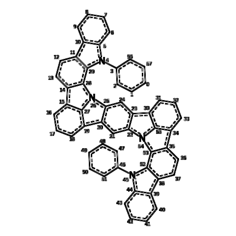 c1ccc(-n2c3ccccc3c3ccc4c5cccc6c7cc8c(cc7n(c65)c4c32)c2cccc3c4ccc5c6ccccc6n(-c6ccccc6)c5c4n8c23)cc1